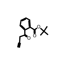 C#CCC(=O)c1ccccc1C(=O)OC(C)(C)C